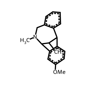 COc1ccc2c(c1)C1C(C)C2c2ccccc2CN1C